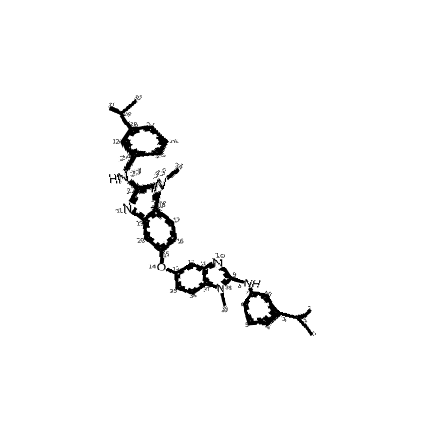 CC(C)c1cccc(Nc2nc3cc(Oc4ccc5c(c4)nc(Nc4cccc(C(C)C)c4)n5C)ccc3n2C)c1